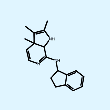 CC1=C(C)C2(C)C=CN=C(NC3CCc4ccccc43)C2N1